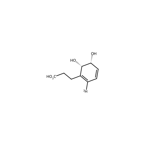 [2H]C1=C(CCC(=O)O)[C@H](O)[C@H](O)C=C1